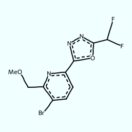 COCc1nc(-c2nnc(C(F)F)o2)ccc1Br